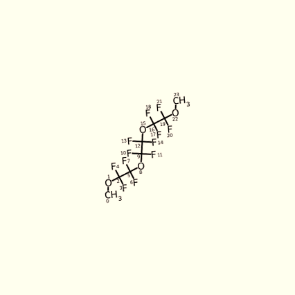 COC(F)(F)C(F)(F)OC(F)(F)C(F)(F)OC(F)(F)C(F)(F)OC